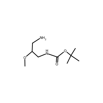 COC(CN)CNC(=O)OC(C)(C)C